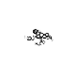 C=C1CC2C3CCC(=O)C3(C)CCC2C2(COC(C)=O)CCC(=NOC3CCNC3)C(c3ccccc3)C12